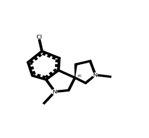 CN1CC[C@@]2(C1)CN(C)c1ccc(Cl)cc12